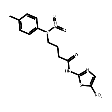 Cc1ccc(N(CCCC(=O)Nc2ncc([N+](=O)[O-])s2)[SH](=O)=O)cc1